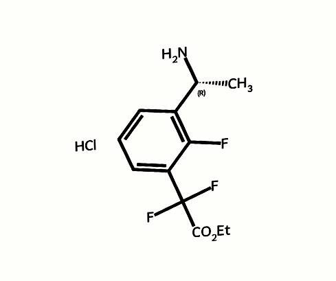 CCOC(=O)C(F)(F)c1cccc([C@@H](C)N)c1F.Cl